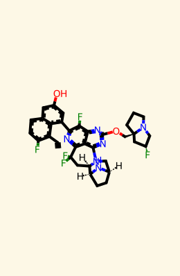 C#Cc1c(F)ccc2cc(O)cc(-c3nc4c5c(nc(OC[C@@]67CCCN6C[C@H](F)C7)nc5c3F)N3C[C@H]5CC[C@H](N5)[C@H]3CC4(F)F)c12